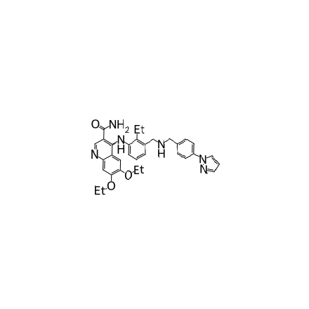 CCOc1cc2ncc(C(N)=O)c(Nc3cccc(CNCc4ccc(-n5cccn5)cc4)c3CC)c2cc1OCC